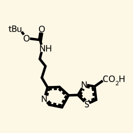 CC(C)(C)OC(=O)NCCCc1cc(-c2nc(C(=O)O)cs2)ccn1